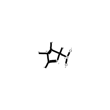 CC1=P[C](C)([Ti]([Cl])[Cl])C(C)=C1C